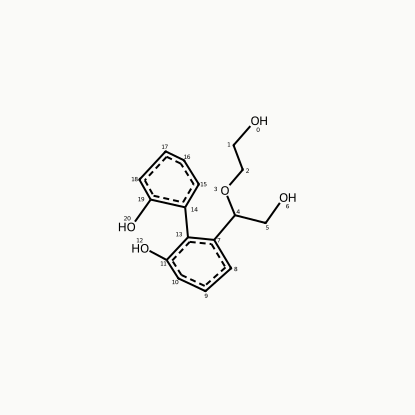 OCCOC(CO)c1cccc(O)c1-c1ccccc1O